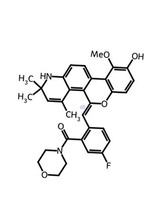 COc1c(O)ccc2c1-c1ccc3c(c1/C(=C/c1ccc(F)cc1C(=O)N1CCOCC1)O2)C(C)=CC(C)(C)N3